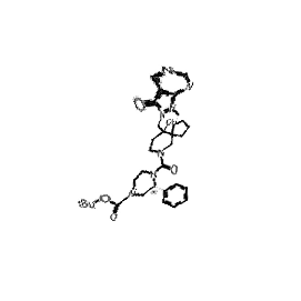 Cn1c2ncncc2c(=O)n1CC1(O)CCN(C(=O)N2CCN(C(=O)OC(C)(C)C)C[C@H]2c2ccccc2)CC12CCCC2